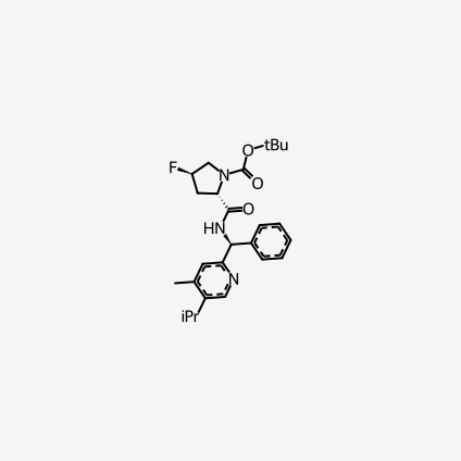 Cc1cc([C@@H](NC(=O)[C@@H]2C[C@@H](F)CN2C(=O)OC(C)(C)C)c2ccccc2)ncc1C(C)C